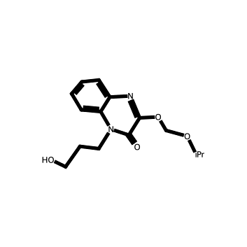 CC(C)OCOc1nc2ccccc2n(CCCO)c1=O